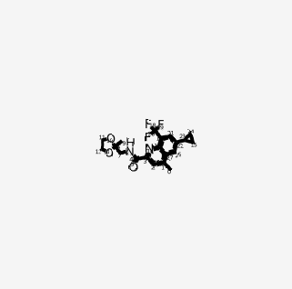 Cc1cc(C(=O)NCC2(C)OCCO2)nc2c(C(F)(F)F)cc(C3CC3)cc12